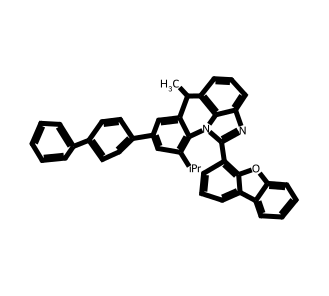 CC(C)c1cc(-c2ccc(-c3ccccc3)cc2)cc2c1-n1c(-c3cccc4c3oc3ccccc34)nc3cccc(c31)C2C